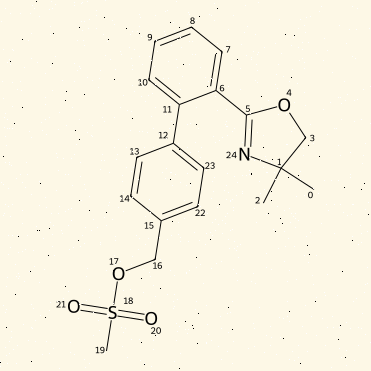 CC1(C)COC(c2ccccc2-c2ccc(COS(C)(=O)=O)cc2)=N1